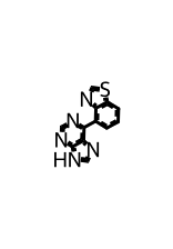 c1cc(-c2ncnc3[nH]cnc23)c2ncsc2c1